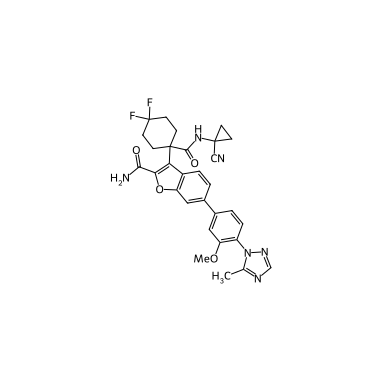 COc1cc(-c2ccc3c(C4(C(=O)NC5(C#N)CC5)CCC(F)(F)CC4)c(C(N)=O)oc3c2)ccc1-n1ncnc1C